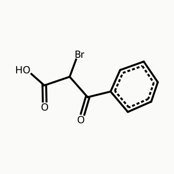 O=C(O)C(Br)C(=O)c1ccccc1